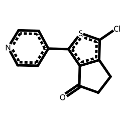 O=C1CCc2c(Cl)sc(-c3ccncc3)c21